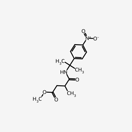 COC(=O)CC(C)C(=O)NC(C)(C)c1ccc([N+](=O)[O-])cc1